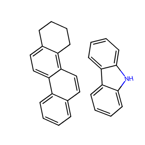 c1ccc2c(c1)[nH]c1ccccc12.c1ccc2c(c1)ccc1c3c(ccc12)CCCC3